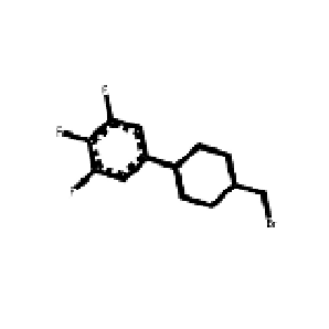 Fc1cc(C2CCC(CBr)CC2)cc(F)c1F